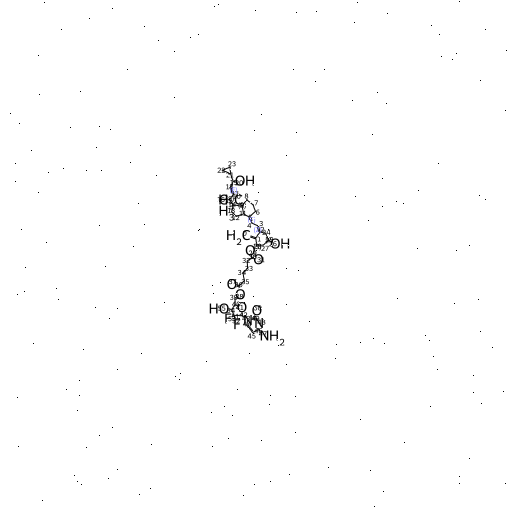 C=C1/C(=C\C=C2/CCC[C@@]3(C)C2CCC3[C@@H](C)/C=C/C(O)C2CC2)C[C@@H](O)C[C@@H]1OC(=O)CCCCC(=O)OCC1OC(n2ccc(N)nc2=O)C(F)(F)C1O